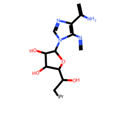 C=Nc1c(C(=C)N)ncn1C1OC(C(O)CC(C)C)C(O)C1O